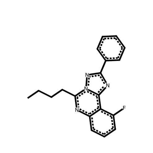 CCCCc1nc2cccc(F)c2c2nc(-c3ccccc3)nn12